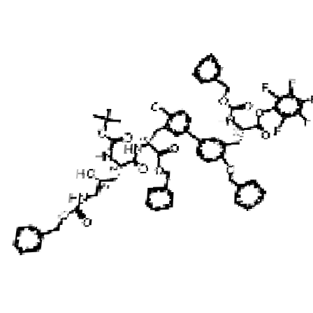 CC(C)(C)OC(=O)N[C@@H](C[C@@H](O)CNC(=O)OCc1ccccc1)C(=O)N[C@@H](Cc1cc(-c2ccc(OCc3ccccc3)c(C[C@H](NC(=O)OCc3ccccc3)C(=O)Oc3c(F)c(F)c(F)c(F)c3F)c2)ccc1Cl)C(=O)OCc1ccccc1